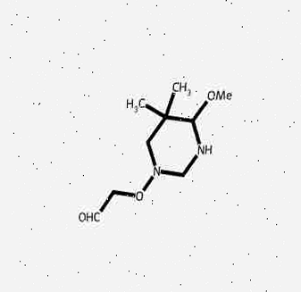 COC1NCN(OCC=O)CC1(C)C